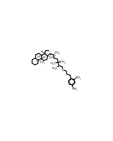 CC(COCCCc1ccc(N)cc1N)C(C)(C)CC[C@@H](C)[C@H]1CC[C@H]2[C@@H]3CCC4CCCC[C@]4(C)[C@H]3CC[C@]12C